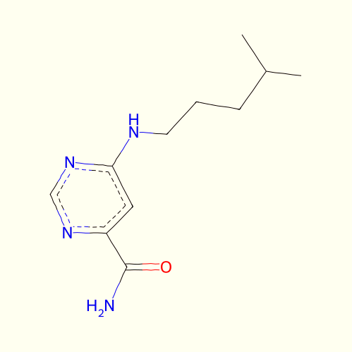 CC(C)CCCNc1cc(C(N)=O)ncn1